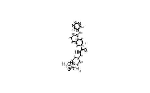 C[SH](C)(=O)N1CCC(CNC(=O)c2ccc3c(c2)CCCN3Cc2cncnc2)CC1